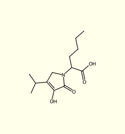 CCCCC(C(=O)O)N1CC(C(C)C)=C(O)C1=O